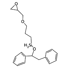 c1ccc(CC(O[SiH2]CCCOCC2CO2)c2ccccc2)cc1